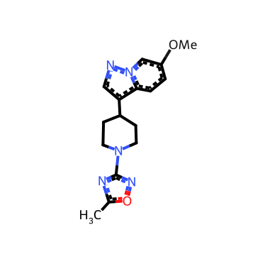 COc1ccc2c(C3CCN(c4noc(C)n4)CC3)cnn2c1